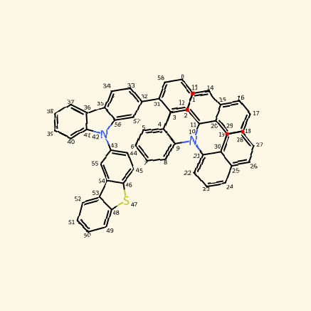 c1ccc(-c2ccccc2N(c2cccc3ccccc23)c2cccc3ccccc23)c(-c2ccc3c4ccccc4n(-c4ccc5sc6ccccc6c5c4)c3c2)c1